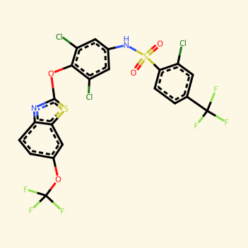 O=S(=O)(Nc1cc(Cl)c(Oc2nc3ccc(OC(F)(F)F)cc3s2)c(Cl)c1)c1ccc(C(F)(F)F)cc1Cl